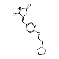 O=C1NC(=O)C(=Cc2ccc(OCCC3CCCC3)cc2)S1